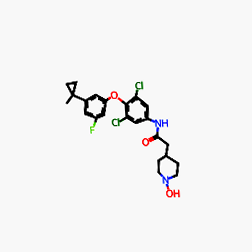 CC1(c2cc(F)cc(Oc3c(Cl)cc(NC(=O)CC4CCN(O)CC4)cc3Cl)c2)CC1